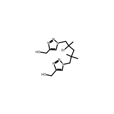 CCC(C)(Cn1cc(CO)nn1)CC(C)(C)Cn1cc(CO)nn1